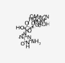 COCCOC1[C@H](O)[C@H](n2c[n+](C)c3c(=O)[nH]c(N)nc32)O[C@@H]1[C@@H](C)OP(=O)(O)OP(=O)(O)n1ccnc1